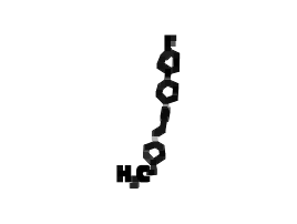 CC[C@H]1CC[C@H](C=CC#C[C@H]2CC[C@H](c3ccc(F)cc3)CC2)CC1